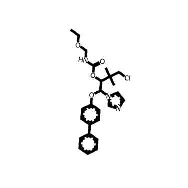 CCOCNC(=O)OC(C(Oc1ccc(-c2ccccc2)cc1)n1ccnc1)C(C)(C)CCl